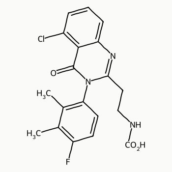 Cc1c(F)ccc(-n2c(CCNC(=O)O)nc3cccc(Cl)c3c2=O)c1C